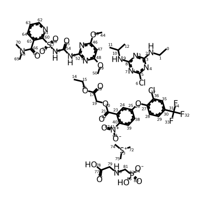 CCNc1nc(Cl)nc(NC(C)C)n1.CCOC(=O)COC(=O)c1cc(Oc2ccc(C(F)(F)F)cc2Cl)ccc1[N+](=O)[O-].COc1cc(OC)nc(NC(=O)NS(=O)(=O)c2ncccc2C(=O)N(C)C)n1.C[S+](C)C.O=C(O)CNCP(=O)([O-])O